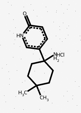 CC1(C)CCC(N)(c2ccc(=O)[nH]c2)CC1.Cl